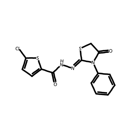 O=C(NN=C1SCC(=O)N1c1ccccc1)c1ccc(Cl)s1